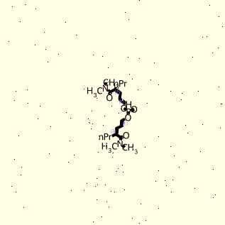 CCC/C(=C/C=C/O[PH](=O)O/C=C/C=C(/CCC)C(=O)N(C)C)C(=O)N(C)C